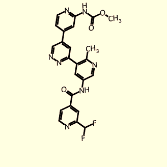 COC(=O)Nc1cc(-c2cnnc(-c3cc(NC(=O)c4ccnc(C(F)F)c4)cnc3C)c2)ccn1